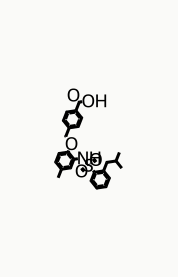 Cc1ccc(OCc2ccc(C(=O)O)cc2)c(NS(=O)(=O)c2ccccc2CC(C)C)c1